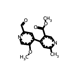 COC(=O)c1cnc(C)cc1-c1cc(C=O)ncc1OC